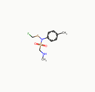 CNCS(=O)(=O)N(SCF)c1ccc(C)cc1